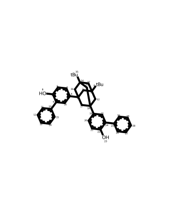 CC(C)(C)C12CC3(c4ccc(O)c(-c5ccccc5)c4)CC(c4ccc(O)c(-c5ccccc5)c4)(C1)CC(C(C)(C)C)(C3)C2